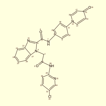 O=C(Cn1c(C(=O)Nc2ccc(-n3ccc(=O)cc3)cc2)nc2ccccc21)Nc1ccc(Cl)cn1